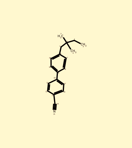 CCC(C)(C)Cc1ccc(-c2ccc(C#N)cc2)cc1